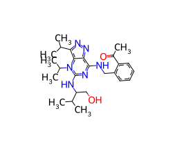 CC(=O)c1ccccc1CNc1nc(NC(CO)C(C)C)n(C(C)C)c2c(C(C)C)nnc1-2